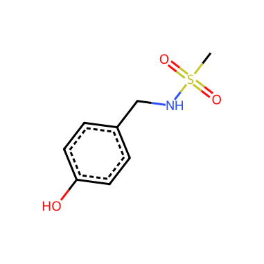 CS(=O)(=O)NCc1ccc(O)cc1